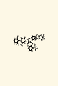 Cc1cccc(F)c1N1CCC(N2Cc3cn(C[C@H]4CC(F)(F)CN4)nc3N(Cc3ccccc3C(F)(F)F)C2=O)CC1